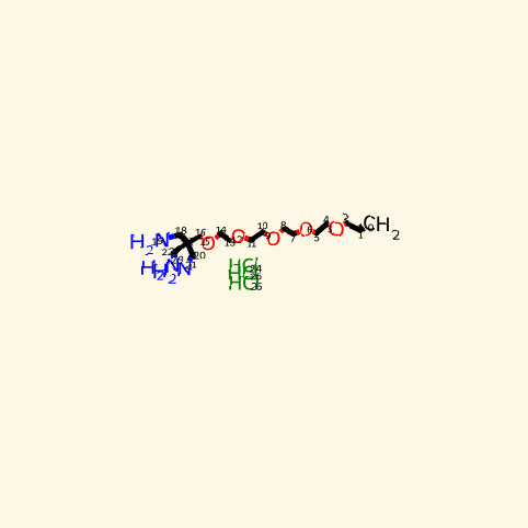 C=CCOCCOCCOCCOCCOCC(CN)(CN)CN.Cl.Cl.Cl